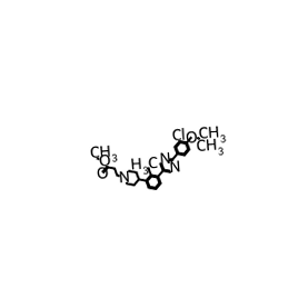 CCOC(=O)CCN1CCC(c2cccc(-c3cnc(-c4ccc(OC(C)C)c(Cl)c4)nc3)c2CC)CC1